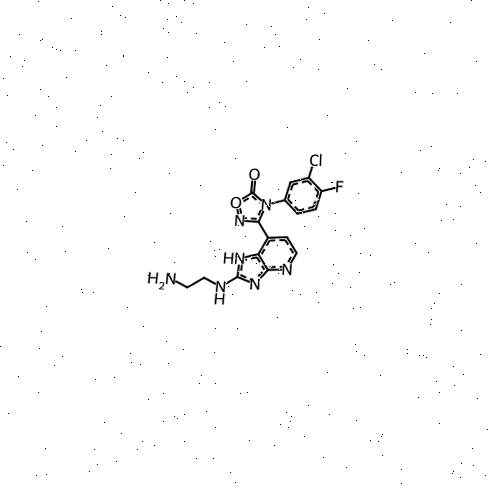 NCCNc1nc2nccc(-c3noc(=O)n3-c3ccc(F)c(Cl)c3)c2[nH]1